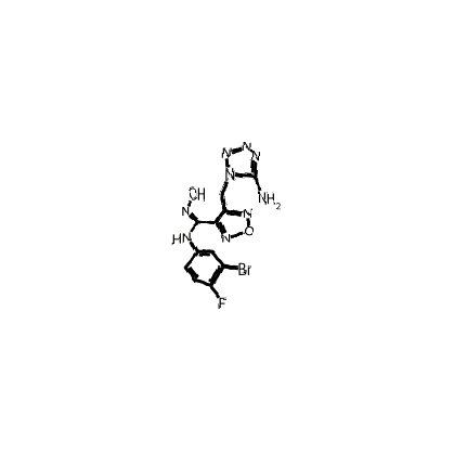 Nc1nnnn1Cc1nonc1/C(=N\O)Nc1ccc(F)c(Br)c1